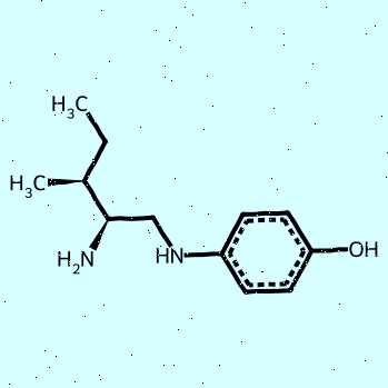 CC[C@H](C)[C@H](N)CNc1ccc(O)cc1